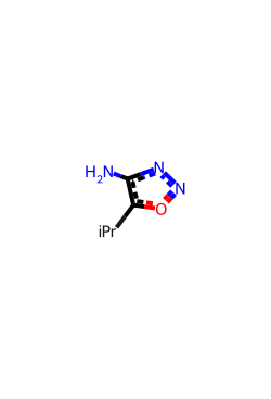 CC(C)c1onnc1N